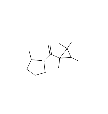 CC1(C(=O)N2CCCC2C(=O)O)C(F)C1(F)F